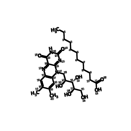 CCCCCCCCCCCC(=O)O.Cc1cc2nc3c(=O)[nH]c(=O)nc-3n(C[C@H](O)[C@H](O)[C@H](O)CO)c2cc1C